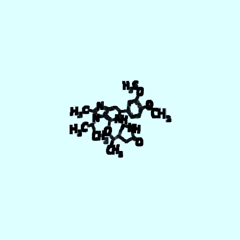 COc1ccc(C2C=c3nc(C)n(C(C)C)c3=C(O[C@H](C)[C@H]3CNC(=O)C3)N2)cc1OC